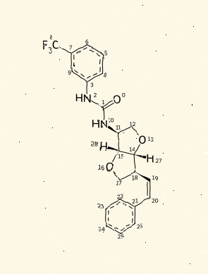 O=C(Nc1cccc(C(F)(F)F)c1)N[C@H]1CO[C@H]2[C@@H]1OC[C@@H]2/C=C\c1ccccc1